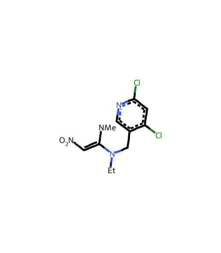 CCN(Cc1cnc(Cl)cc1Cl)/C(=C/[N+](=O)[O-])NC